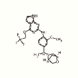 COc1cc([C@H](C)N2C[C@@H]3C[C@H]2CO3)ccc1Nc1nc(OCC(F)(F)F)c2cc[nH]c2n1